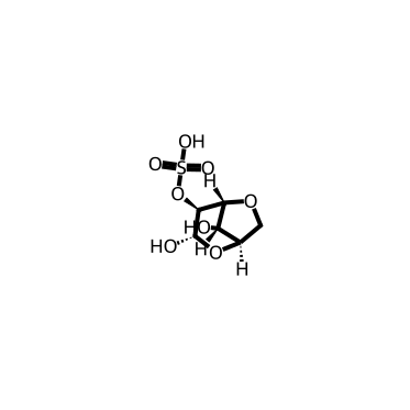 O=S(=O)(O)O[C@H]1[C@@H]2OC[C@@H](O[C@@H]1O)[C@@H]2O